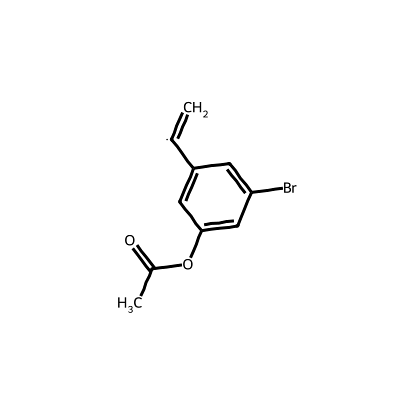 C=[C]c1cc(Br)cc(OC(C)=O)c1